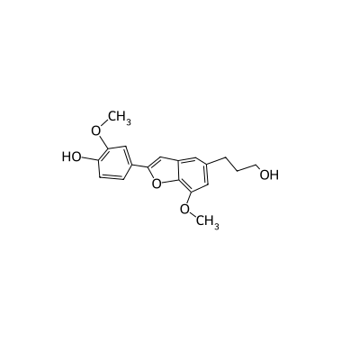 COc1cc(-c2cc3cc(CCCO)cc(OC)c3o2)ccc1O